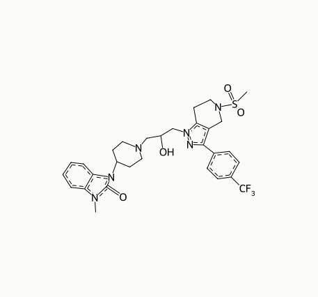 Cn1c(=O)n(C2CCN(CC(O)Cn3nc(-c4ccc(C(F)(F)F)cc4)c4c3CCN(S(C)(=O)=O)C4)CC2)c2ccccc21